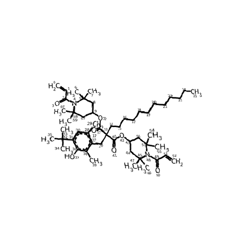 C=CC(=O)N1C(C)(C)CC(OC(=O)C(CCCCCCCCCCCC)(Cc2c(C)cc(C(C)(C)C)c(O)c2C)C(=O)OC2CC(C)(C)N(C(=O)C=C)C(C)(C)C2)CC1(C)C